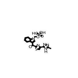 Cc1nnc(-c2csc(C(=O)c3cn(COP(=O)(O)O)c4ccccc34)n2)[nH]1